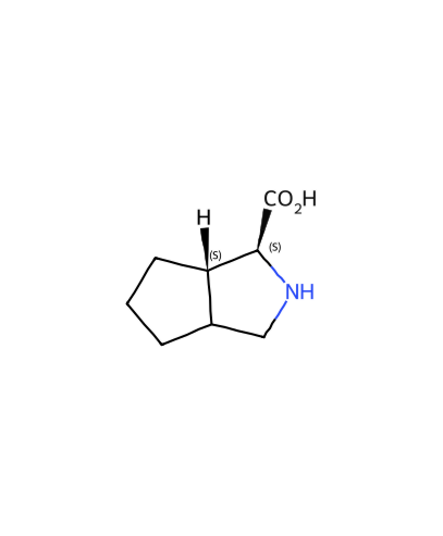 O=C(O)[C@H]1NCC2CCC[C@@H]21